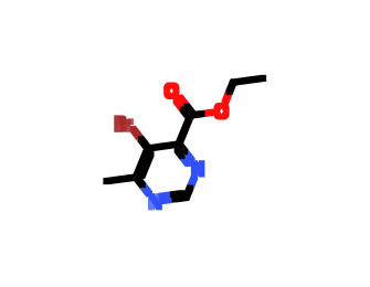 CCOC(=O)c1ncnc(C)c1Br